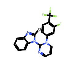 Cc1nc2ccccc2n1C1N=CC=CN1c1ccc(C(F)(F)F)c(F)c1